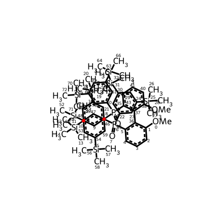 COc1cccc(P(=O)(c2cc([Si](C)(C)C)cc([Si](C)(C)C)c2)c2cc([Si](C)(C)C)cc([Si](C)(C)C)c2)c1-c1c(OC)cccc1P(=O)(c1cc([Si](C)(C)C)cc([Si](C)(C)C)c1)c1cc([Si](C)(C)C)cc([Si](C)(C)C)c1